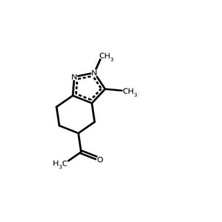 CC(=O)C1CCc2nn(C)c(C)c2C1